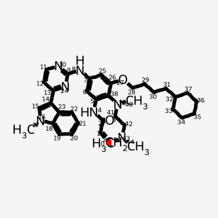 C=CC(=O)Nc1cc(Nc2nccc(-c3cn(C)c4ccccc34)n2)cc(OCCCCC2CCCCC2)c1N(C)CCN(C)C